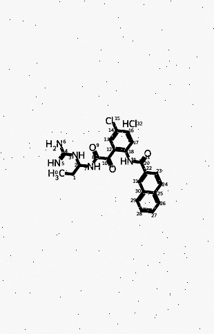 CCC(NC(=N)N)NC(=O)C(=O)c1cc(Cl)ccc1NC(=O)c1ccc2ccccc2c1.Cl